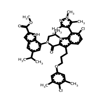 COC(=O)c1cc2cc(C(C)C)cc(N3C[C@@H](C)n4c(c(CCCOc5cc(C)c(Cl)c(C)c5)c5ccc(Cl)c(-c6c(C)nn(C)c6C)c54)C3=O)c2[nH]1